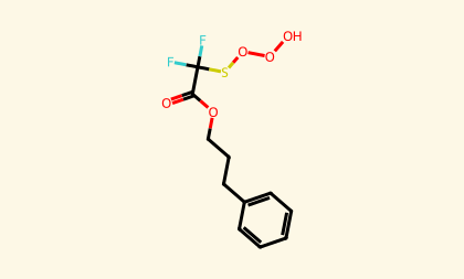 O=C(OCCCc1ccccc1)C(F)(F)SOOO